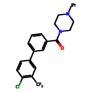 CC(C)N1CCN(C(=O)c2cccc(-c3ccc(Cl)c(C(F)(F)F)c3)c2)CC1